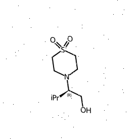 CC(C)[C@H](CO)N1CCS(=O)(=O)CC1